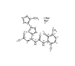 Cc1cscc1-c1ccc([C@H](CC(=O)[O-])NC(=O)Nc2c([O-])ccn(C)c2=O)s1.[Na+].[Na+]